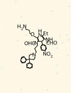 CCC1=C(NC=O)C(c2ccc([N+](=O)[O-])cc2)C(N(C=O)CCCN2CCC(c3ccccc3)(c3ccccc3)CC2)=C(COCCCN)N1